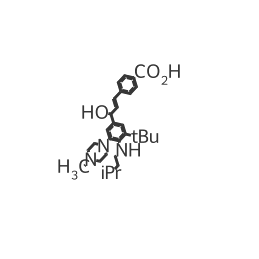 CC(C)CCNc1c(N2CCN(C)CC2)cc(C(O)C=Cc2ccc(C(=O)O)cc2)cc1C(C)(C)C